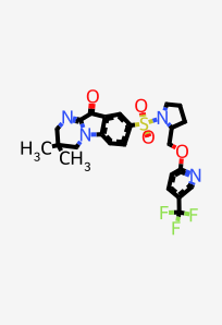 CC1(C)CN=C2C(=O)c3cc(S(=O)(=O)N4CCCC4COc4ccc(C(F)(F)F)cn4)ccc3N2C1